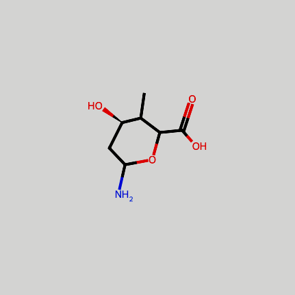 CC1C(C(=O)O)OC(N)C[C@H]1O